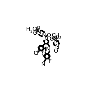 CS(=O)(=O)N1CCN(C(=O)N2CC(CNCc3ccc(C#N)c(F)c3)C(c3ccc(Cl)c(Cl)c3)C2)CC1.CS(=O)(=O)N1CCN(C=O)CC1